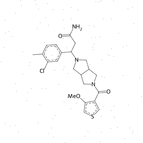 COc1cscc1C(=O)N1CC2CN(C(CC(N)=O)c3ccc(C)c(Cl)c3)CC2C1